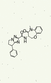 CN1C(=O)[C@@H](NC(=O)c2nc3n(n2)CCC3c2ccccc2)COc2ccccc21